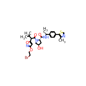 Cc1ncsc1-c1ccc([C@H](C)NC(=O)[C@@H]2C[C@@H](O)CN2C(=O)C(c2cc(OCCBr)no2)C(C)C)cc1